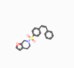 O=S(=O)(c1ccc(/C=C\c2ccccc2)cc1)N1CCc2ccoc2C1